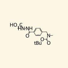 CN(Cc1ccc(C(=O)NNC(=O)O)cc1)C(=O)OC(C)(C)C